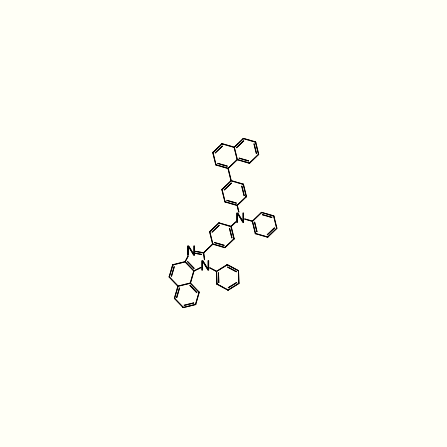 c1ccc(N(c2ccc(-c3cccc4ccccc34)cc2)c2ccc(-c3nc4ccc5ccccc5c4n3-c3ccccc3)cc2)cc1